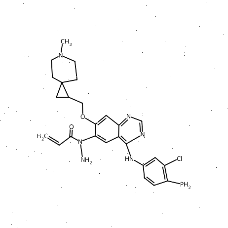 C=CC(=O)N(N)c1cc2c(Nc3ccc(P)c(Cl)c3)ncnc2cc1OCC1CC12CCN(C)CC2